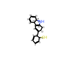 SC1C=CC=CC1C1=CC2=C(CC1)NC1C=CC=CC21